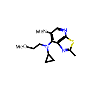 CNc1cnc2sc(C)nc2c1N(CCOC)C1CC1